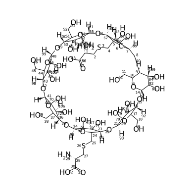 N[C@H](CSCC1C[C@@H]2C[C@@H]3C(CO)O[C@@H](O[C@@H]4C(CO)O[C@@H](O[C@@H]5C(CSC[C@@H](N)C(=O)O)O[C@@H](O[C@@H]6C(CO)O[C@H](O[C@@H]7C(CO)O[C@H](O[C@@H]8C(CO)O[C@H](O[C@H]1[C@H](O)C2O)C(O)[C@H]8O)C(O)[C@H]7O)C(O)[C@H]6O)C(O)[C@H]5O)C(O)[C@H]4O)C(O)[C@H]3O)C(=O)O